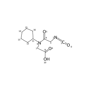 O=C=NCC(=O)N(CC(=O)O)C1CCCCC1